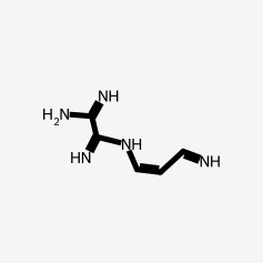 N=C/C=C\NC(=N)C(=N)N